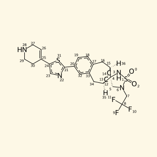 O=S1(=O)N[C@@]2(CN1CC(F)(F)F)[C@@H]1CC[C@H]2Cc2ccc(-c3ncc(C4=CCNCC4)s3)cc2C1